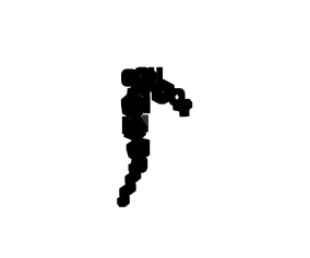 CCCCCCCOc1ccc(-c2cnc(-c3ccc(C[C@H](NC(=O)c4ccc(OCC(C)C)cc4)C(=O)O)cc3)nc2)cc1